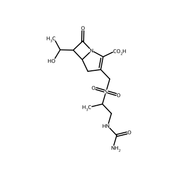 CC(O)C1C(=O)N2C(C(=O)O)=C(CS(=O)(=O)C(C)CNC(N)=O)CC12